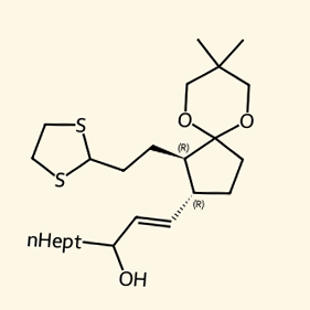 CCCCCCCC(O)C=C[C@H]1CCC2(OCC(C)(C)CO2)[C@@H]1CCC1SCCS1